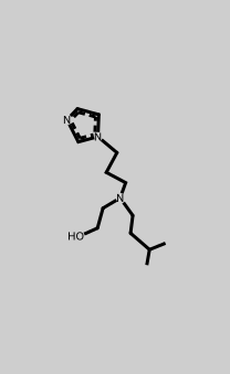 CC(C)CCN(CCO)CCCn1ccnc1